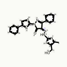 Cc1nc(N/N=C2\C(=O)N(c3nc(-c4ccccc4)cs3)N=C2c2ccccc2)sc1CO